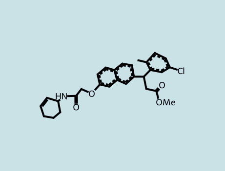 COC(=O)CC(c1ccc2ccc(OCC(=O)NC3C=CCCC3)cc2c1)c1cc(Cl)ccc1C